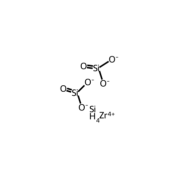 O=[Si]([O-])[O-].O=[Si]([O-])[O-].[SiH4].[Zr+4]